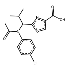 CC(=O)N(c1ccc(Cl)cc1)C(c1nc(C(=O)O)cs1)C(C)C